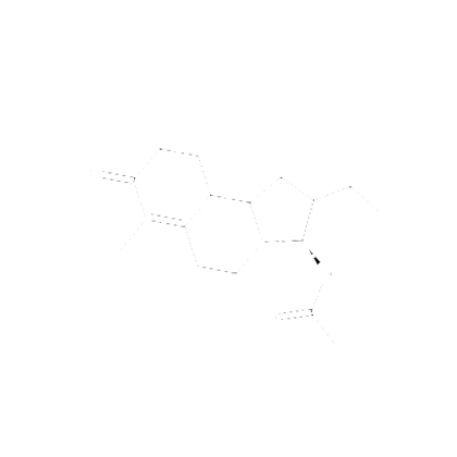 CCC1CC2C3CCC(=O)C(C)=C3CCC2[C@@H]1OC(C)=O